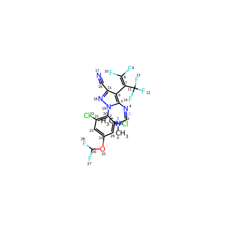 CN(C)/C=N\c1c(C(=C(F)F)C(F)(F)F)c(C#N)nn1-c1c(Cl)cc(OC(F)F)cc1Cl